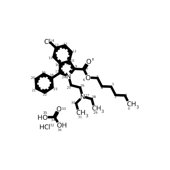 CCCCCCOC(=O)c1c2ccc(Cl)cc2c(-c2ccccc2)n1CCN(CC)CC.Cl.O=C(O)O